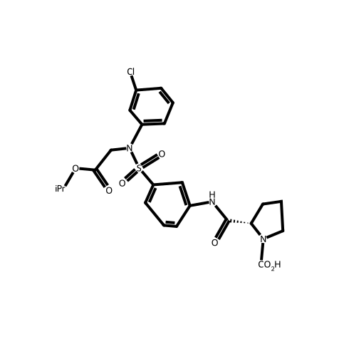 CC(C)OC(=O)CN(c1cccc(Cl)c1)S(=O)(=O)c1cccc(NC(=O)[C@@H]2CCCN2C(=O)O)c1